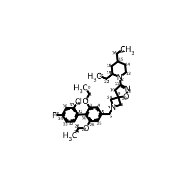 CCOc1cc(CN2CC3(CC(N4CCC(CC)CC4CC)=NO3)C2)cc(OCC)c1-c1ccc(F)cc1Cl